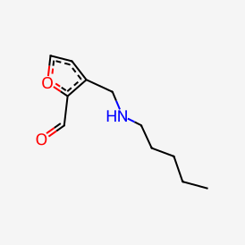 CCCCCNCc1ccoc1C=O